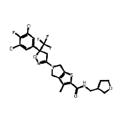 Cc1c(C(=O)NCC2CCOC2)sc2c1CN(C1=NOC(c3cc(Cl)c(F)c(Cl)c3)(C(F)(F)F)C1)C2